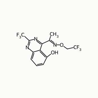 CC(=NOCC(F)(F)F)c1nc(C(F)(F)F)nc2cccc(O)c12